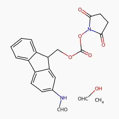 C.O=CNc1ccc2c(c1)C(COC(=O)ON1C(=O)CCC1=O)c1ccccc1-2.O=CO